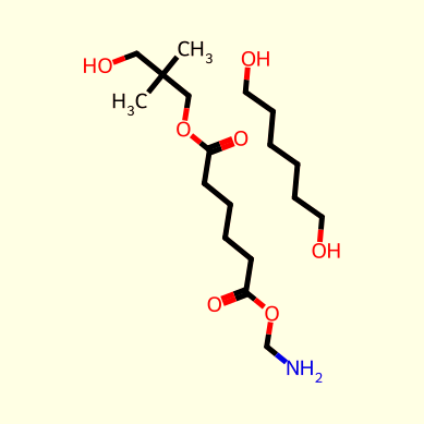 CC(C)(CO)COC(=O)CCCCC(=O)OCN.OCCCCCCO